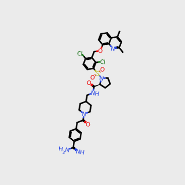 Cc1cc(C)c2cccc(OCc3c(Cl)ccc(S(=O)(=O)N4CCC[C@H]4C(=O)NCC4CCN(C(=O)Cc5ccc(C(=N)N)cc5)CC4)c3Cl)c2n1